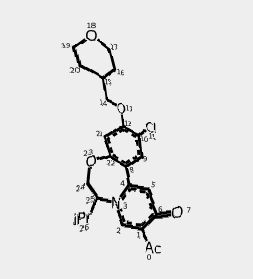 CC(=O)c1cn2c(cc1=O)-c1cc(Cl)c(OCC3CCOCC3)cc1OCC2C(C)C